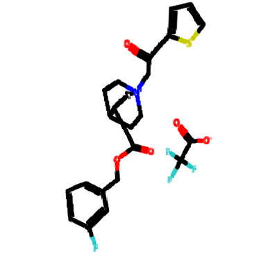 O=C(C[N+]12CCC(CC1)C(C(=O)OCc1cccc(F)c1)C2)c1cccs1.O=C([O-])C(F)(F)F